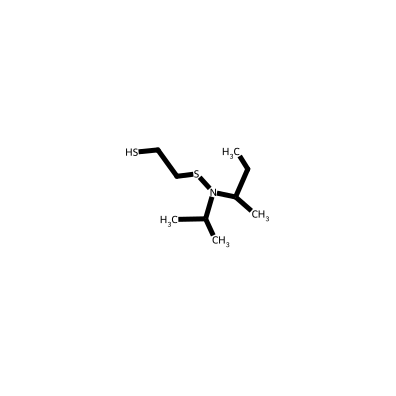 CCC(C)N(SCCS)C(C)C